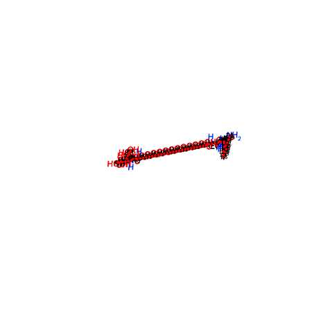 CCN[C@@H](CCCCNC(=O)C(O)COCC(O)COC/C(O)=C/OCC(O)COCC(O)COCC(O)COCC(O)COCC(O)COCC(O)COCC(O)COCC(O)COCC(O)CNC(=O)CCC(=O)NCCN(C[C@H](O)[C@@H](O)[C@H](O)[C@H](O)CO)C[C@H](O)[C@@H](O)[C@H](O)[C@H](O)CO)C(=O)N[C@H](C(=O)N[C@@H](CCCNC(N)=O)C(=O)Nc1ccc(COI)cc1)C(C)C